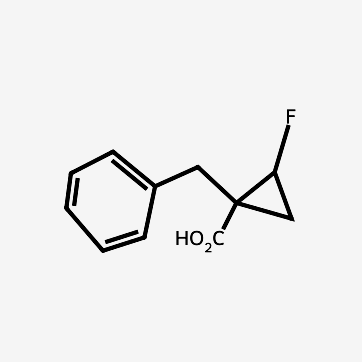 O=C(O)C1(Cc2ccccc2)CC1F